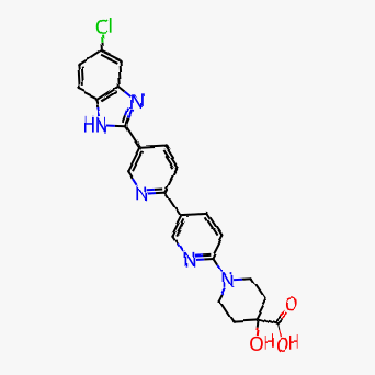 O=C(O)C1(O)CCN(c2ccc(-c3ccc(-c4nc5cc(Cl)ccc5[nH]4)cn3)cn2)CC1